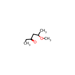 CCC(=O)CC(C)OC